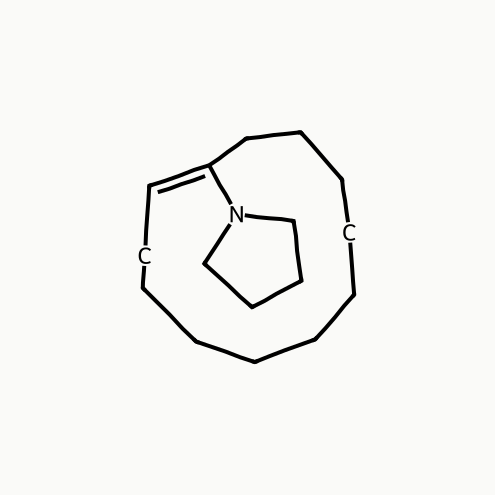 C1=C(\N2CCCC2)CCCCCCCCCC/1